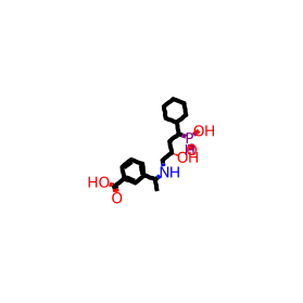 CC(NC[C@@H](O)CC(C1CCCCC1)[PH](=O)O)c1cccc(C(=O)O)c1